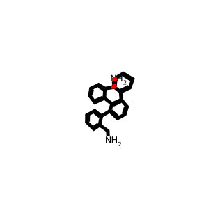 NCc1ccccc1-c1cccc(-c2ccccc2)c1-c1ccccc1CN